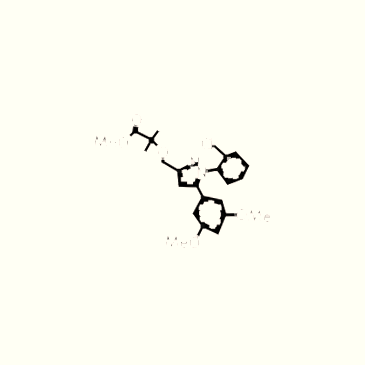 COC(=O)C(C)(C)OCc1cc(-c2cc(OC)cc(OC)c2)n(-c2ccccc2Cl)n1